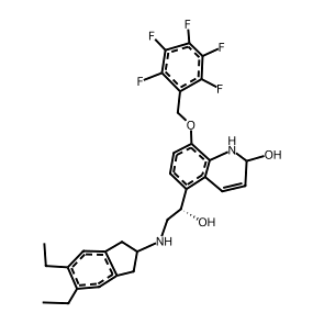 CCc1cc2c(cc1CC)CC(NC[C@@H](O)c1ccc(OCc3c(F)c(F)c(F)c(F)c3F)c3c1C=CC(O)N3)C2